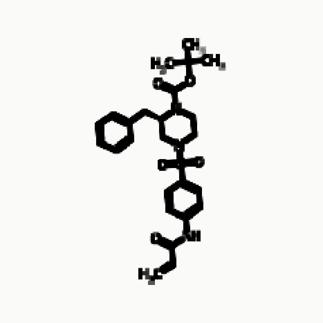 C=CC(=O)Nc1ccc(S(=O)(=O)N2CCN(C(=O)OC(C)(C)C)[C@H](Cc3ccccc3)C2)cc1